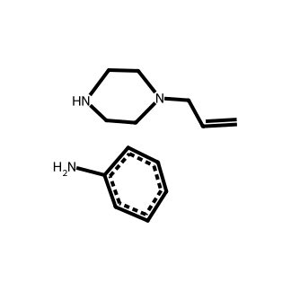 C=CCN1CCNCC1.Nc1ccccc1